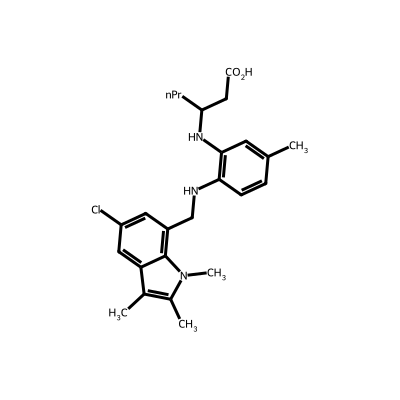 CCCC(CC(=O)O)Nc1cc(C)ccc1NCc1cc(Cl)cc2c(C)c(C)n(C)c12